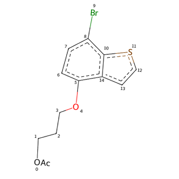 CC(=O)OCCCOc1ccc(Br)c2sccc12